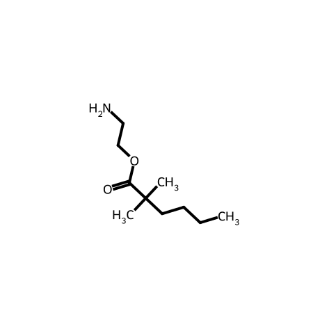 CCCCC(C)(C)C(=O)OCCN